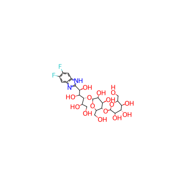 OCC(O)[C@@H](O[C@H]1OC(CO)[C@@H](O[C@H]2OC(CO)[C@@H](O)[C@H](O)C2O)[C@H](O)C1O)C(O)[C@H](O)c1nc2cc(F)c(F)cc2[nH]1